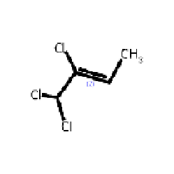 C/C=C(\Cl)C(Cl)Cl